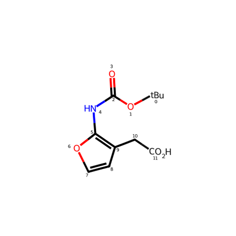 CC(C)(C)OC(=O)Nc1occc1CC(=O)O